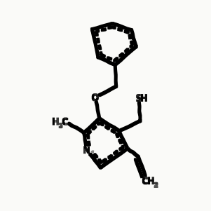 C=Cc1cnc(C)c(OCc2ccccc2)c1CS